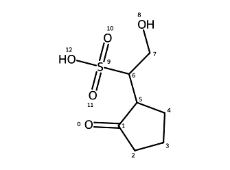 O=C1CCCC1C(CO)S(=O)(=O)O